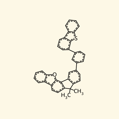 CC1(C)c2ccc(-c3cccc(-c4cccc5c4sc4ccccc45)c3)cc2-c2c1ccc1c2oc2ccccc21